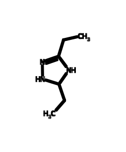 CCC1=NNC(CC)N1